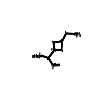 CCCCCCCC(CCCCCC)N1CC(CN)C1